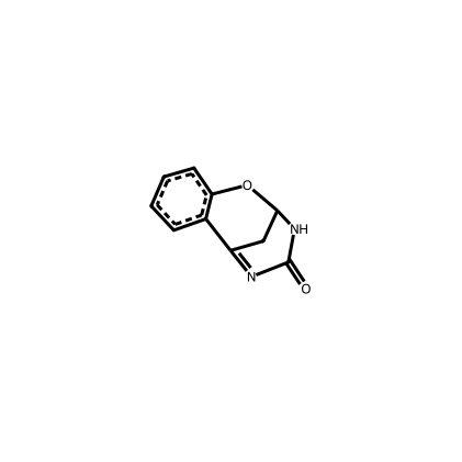 O=C1N=C2CC(N1)Oc1ccccc12